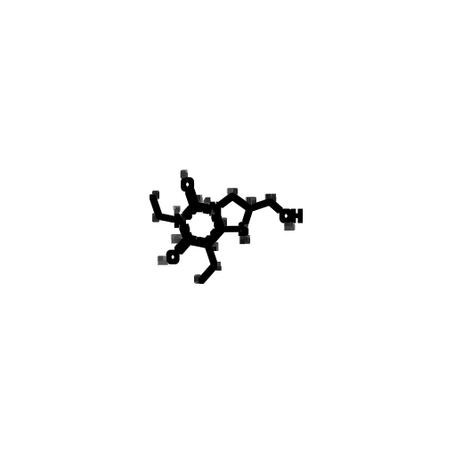 CCc1c2n(c(=O)n(CC)c1=O)CC(CO)S2